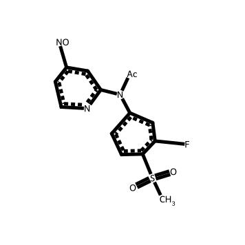 CC(=O)N(c1ccc(S(C)(=O)=O)c(F)c1)c1cc(N=O)ccn1